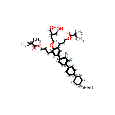 C=C(C)C(=O)OCCCc1cc(-c2ccc(C3=CCC(C4CCC(CCCCC)CC4)C=C3)c(F)c2F)cc(CCCOC(=O)C(=C)C)c1OCCC(CO)CO